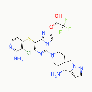 Nc1nccc(Sc2cnc(N3CCC4(CC3)Cn3nccc3[C@H]4N)n3ccnc23)c1Cl.O=C(O)C(F)(F)F